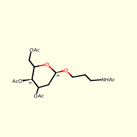 CC(=O)NCCCO[C@H]1CC(OC(C)=O)[C@@H](OC(C)=O)C(COC(C)=O)O1